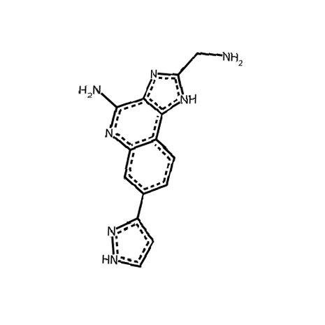 NCc1nc2c(N)nc3cc(-c4cc[nH]n4)ccc3c2[nH]1